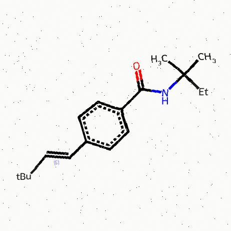 CCC(C)(C)NC(=O)c1ccc(/C=C/C(C)(C)C)cc1